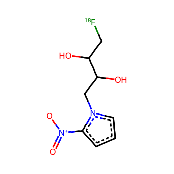 O=[N+]([O-])c1cccn1CC(O)C(O)C[18F]